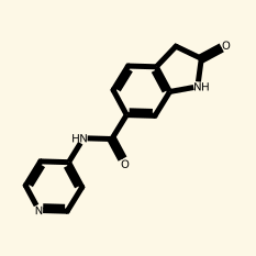 O=C1Cc2ccc(C(=O)Nc3ccncc3)cc2N1